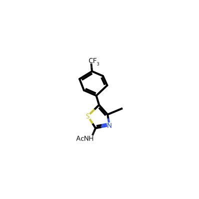 CC(=O)Nc1nc(C)c(-c2ccc(C(F)(F)F)cc2)s1